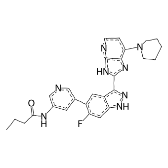 CCCC(=O)Nc1cncc(-c2cc3c(-c4nc5c(N6CCCCC6)ccnc5[nH]4)n[nH]c3cc2F)c1